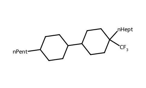 CCCCCCCC1(C(F)(F)F)CCC(C2CCC(CCCCC)CC2)CC1